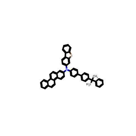 CC(C)(c1ccccc1)c1ccc(-c2ccc(N(c3ccc4c(ccc5c6ccccc6ccc45)c3)c3ccc4c(c3)sc3ccccc34)cc2)cc1